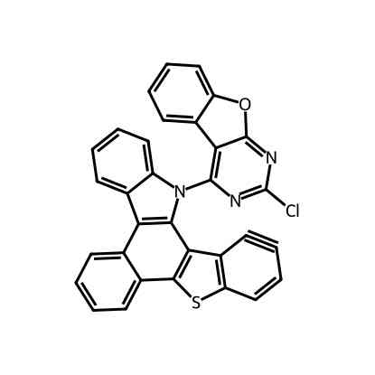 Clc1nc(-n2c3ccccc3c3c4ccccc4c4sc5ccc#cc5c4c32)c2c(n1)oc1ccccc12